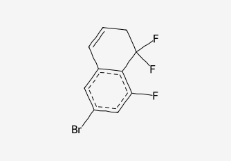 Fc1cc(Br)cc2c1C(F)(F)CC=C2